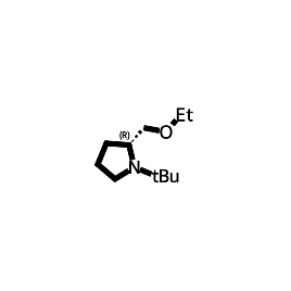 CCOC[C@H]1CCCN1C(C)(C)C